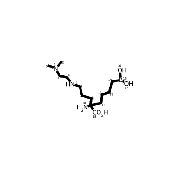 CN(C)CCNCCCC(N)(CCCCB(O)O)C(=O)O